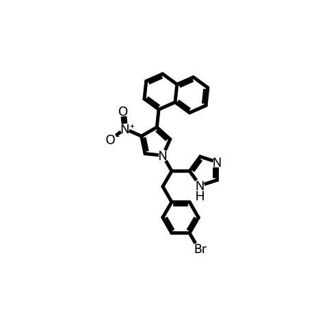 O=[N+]([O-])c1cn(C(Cc2ccc(Br)cc2)c2cnc[nH]2)cc1-c1cccc2ccccc12